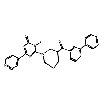 Cn1c(N2CCCC(C(=O)c3cccc(-c4ccccc4)c3)C2)nc(-c2ccncc2)cc1=O